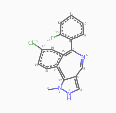 CN1NC=C2C=NC(c3ccccc3F)=c3cc(Cl)ccc3=C21